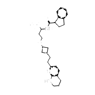 O=C(O)C(CCOC1CC(CCc2ccc3c(n2)NCCC3)C1)NC(=O)C1CCc2ccccc21